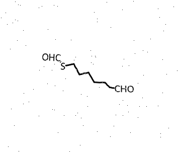 O=CCCCCCCSC=O